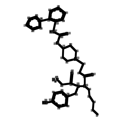 CCCCCN(C(=O)CCN1CCC(OC(=O)Nc2ccccc2-c2ccccc2)CC1)N(Cc1ccc(O)cc1)C(=O)CN